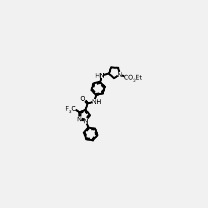 CCOC(=O)N1CCC(Nc2ccc(NC(=O)c3cn(-c4ccccc4)nc3C(F)(F)F)cc2)C1